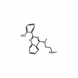 CNCCN(C)c1nc(-c2ccccc2O)nc2ccccc12